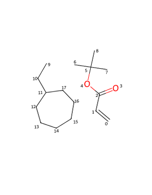 C=CC(=O)OC(C)(C)C.CCC1CCCCCC1